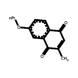 CCCOc1ccc2c(c1)C(=O)C(C)=CC2=O